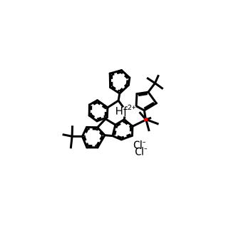 CCC1=CC(C(C)(C)C)=C[CH]1[Hf+2]([c]1c(C(C)(C)C)ccc2c1Cc1cc(C(C)(C)C)ccc1-2)[CH](c1ccccc1)c1ccccc1.[Cl-].[Cl-]